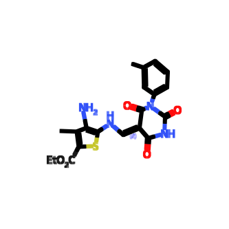 CCOC(=O)c1sc(N/C=C2/C(=O)NC(=O)N(c3cccc(C)c3)C2=O)c(N)c1C